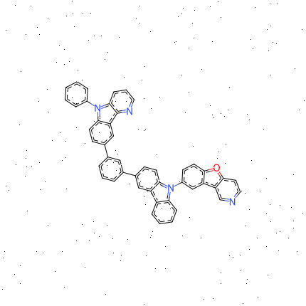 c1ccc(-n2c3ccc(-c4cccc(-c5ccc6c(c5)c5ccccc5n6-c5ccc6oc7ccncc7c6c5)c4)cc3c3ncccc32)cc1